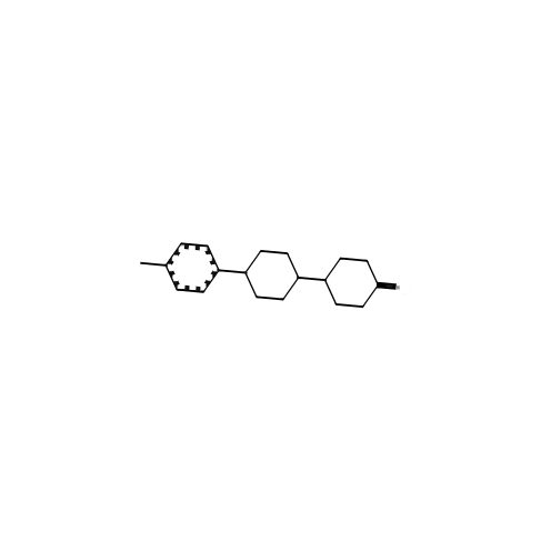 Cc1ccc(C2CCC(C3CCC(=O)CC3)CC2)cc1